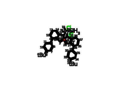 CCCC1=Cc2c(-c3ccc(C(C)(C)C)cc3)cccc2[CH]1[Zr]([CH3])([CH3])([SiH3])([Cl])([Cl])[CH]1C(CCC)=Cc2c(-c3ccc(C(C)(C)C)cc3)cccc21